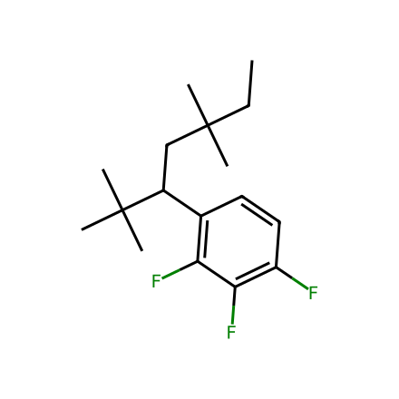 CCC(C)(C)CC(c1ccc(F)c(F)c1F)C(C)(C)C